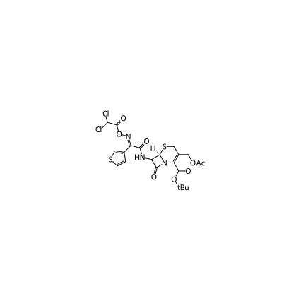 CC(=O)OCC1=C(C(=O)OC(C)(C)C)N2C(=O)[C@@H](NC(=O)/C(=N/OC(=O)C(Cl)Cl)c3ccsc3)[C@H]2SC1